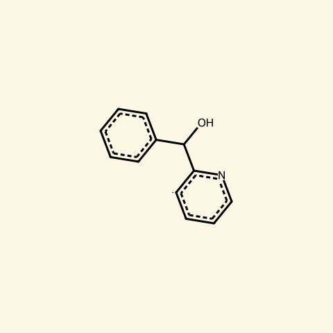 OC(c1ccccc1)c1[c]cccn1